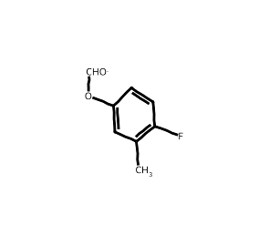 Cc1cc(O[C]=O)ccc1F